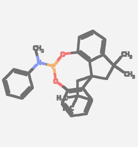 CN(c1ccccc1)P1Oc2cccc3c2C2(CC3(C)C)CC(C)(C)c3cccc(c32)O1